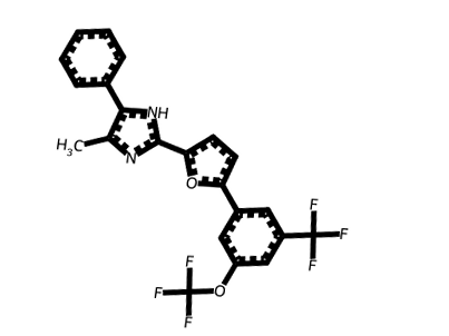 Cc1nc(-c2ccc(-c3cc(OC(F)(F)F)cc(C(F)(F)F)c3)o2)[nH]c1-c1ccccc1